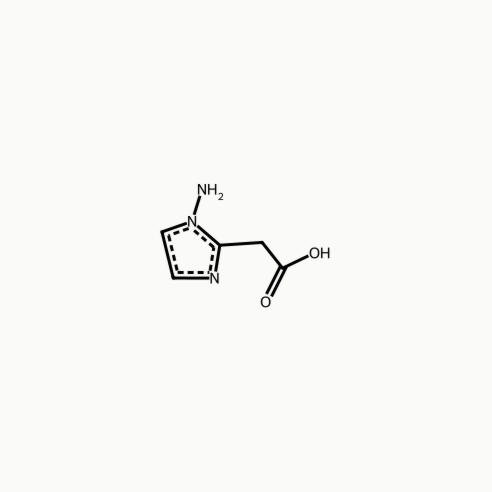 Nn1ccnc1CC(=O)O